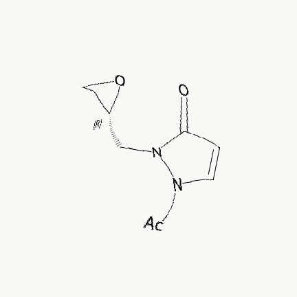 CC(=O)n1ccc(=O)n1C[C@@H]1CO1